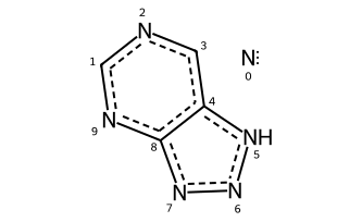 [N].c1ncc2[nH]nnc2n1